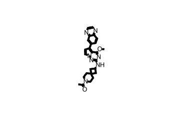 COc1nc(NC2CC3(CCN(C(C)=O)CC3)C2)nn2ccc(-c3ccc4nccnc4c3)c12